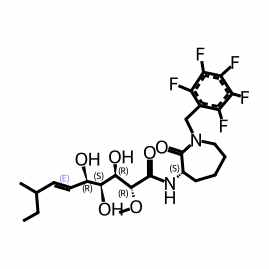 CCC(C)/C=C/[C@@H](O)[C@H](O)[C@@H](O)[C@@H](OC)C(=O)N[C@H]1CCCCN(Cc2c(F)c(F)c(F)c(F)c2F)C1=O